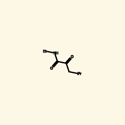 CCNC(=O)C(=O)CC(C)C